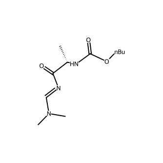 CCCCOC(=O)N[C@@H](C)C(=O)/N=C/N(C)C